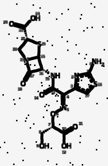 Nc1nc(/C(=N/O[C@@H](CO)C(=O)O)C(=O)N[C@@H]2C(=O)N3C[C@H](C(=O)O)SC23)cs1